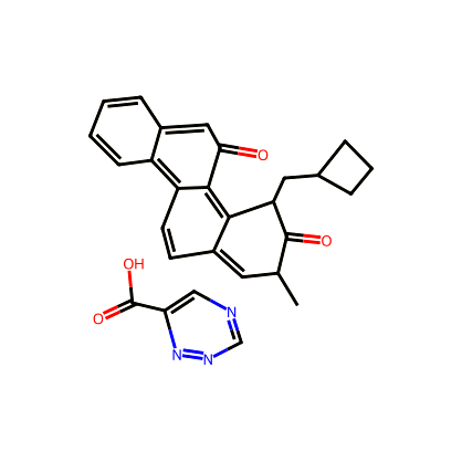 CC1C=c2ccc3c(c2C(CC2CCC2)C1=O)C(=O)C=c1ccccc1=3.O=C(O)c1cncnn1